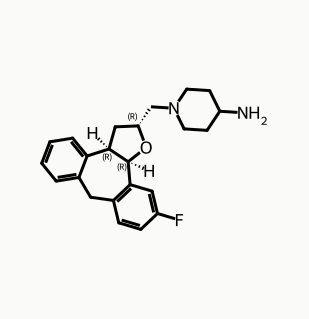 NC1CCN(C[C@H]2C[C@@H]3c4ccccc4Cc4ccc(F)cc4[C@@H]3O2)CC1